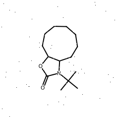 CC(C)(C)N1C(=O)OC2CCCCCCCC21